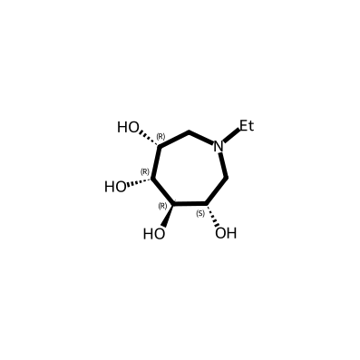 CCN1C[C@@H](O)[C@@H](O)[C@H](O)[C@@H](O)C1